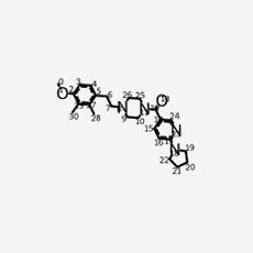 COc1ccc(CCN2CCN(C(=O)c3ccc(N4CCCC4)nc3)CC2)c(C)c1C